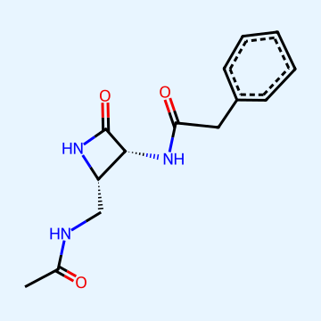 CC(=O)NC[C@@H]1NC(=O)[C@@H]1NC(=O)Cc1ccccc1